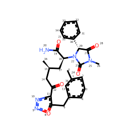 Cc1cccc(Cc2onnc2C(=O)C[C@@H](C)C[C@@H](C(N)=O)N2C(=O)N(C)C(=O)[C@H]2c2ccccc2)c1